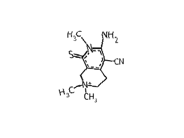 Cn1c(N)c(C#N)c2c(c1=S)C[N+](C)(C)CC2